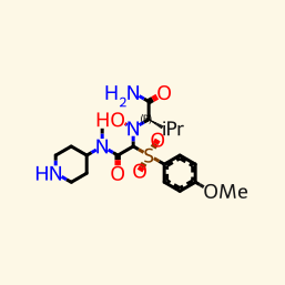 COc1ccc(S(=O)(=O)C(C(=O)N(C)C2CCNCC2)N(O)[C@@H](C(N)=O)C(C)C)cc1